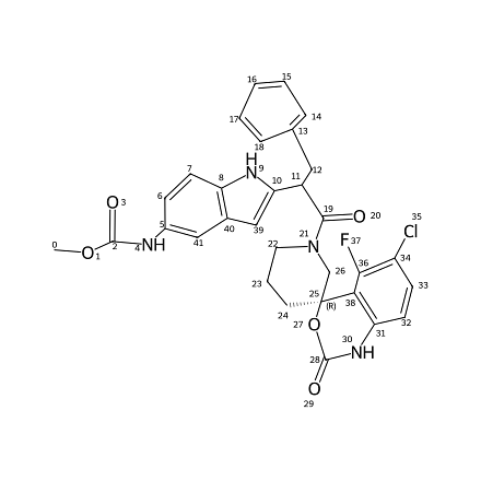 COC(=O)Nc1ccc2[nH]c(C(Cc3ccccc3)C(=O)N3CCC[C@@]4(C3)OC(=O)Nc3ccc(Cl)c(F)c34)cc2c1